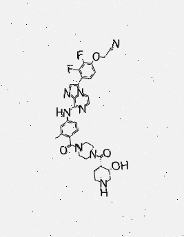 Cc1cc(Nc2nccn3c(-c4ccc(OCC#N)c(F)c4F)cnc23)ccc1C(=O)N1CCN(C(=O)[C@H]2CCNC[C@H]2O)CC1